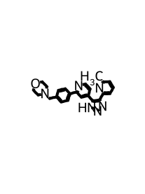 Cc1cccc(-c2nn[nH]c2-c2ccnc(-c3ccc(CN4CCOCC4)cc3)c2)n1